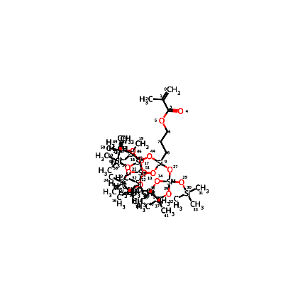 C=C(C)C(=O)OCCC[Si](O[Si](O[Si](C)(C)C)(O[Si](C)(C)C)O[Si](C)(C)C)(O[Si](O[Si](C)(C)C)(O[Si](C)(C)C)O[Si](C)(C)C)O[Si](O[Si](C)(C)C)(O[Si](C)(C)C)O[Si](C)(C)C